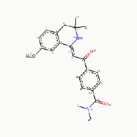 COc1ccc2c(c1)/C(=C/C(=O)c1ccc(C(=O)N(C)C)cc1)NC(C)(C)C2